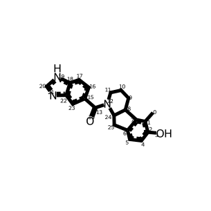 Cc1c(O)ccc2c1C1CCCN(C(=O)c3ccc4[nH]cnc4c3)C1C2